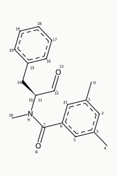 Cc1cc(C)cc(C(=O)N(C)[C@H]([C]=O)Cc2ccccc2)c1